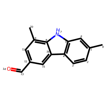 Cc1ccc2c(c1)[nH]c1c(C)cc(C=O)cc12